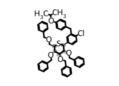 CC(C)Oc1ccc(Cc2cc([C@@H]3S[C@H](COCc4ccccc4)[C@@H](OCc4ccccc4)[C@H](OCc4ccccc4)[C@H]3OCc3ccccc3)ccc2Cl)cc1